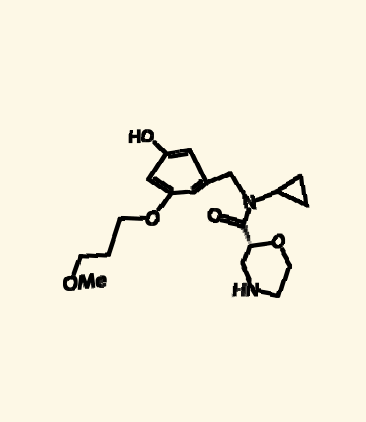 COCCCOc1cc(O)cc(CN(C(=O)[C@H]2CNCCO2)C2CC2)c1